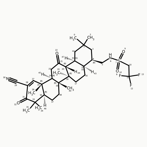 CC1(C)C[C@@H](CNS(=O)(=O)CC(F)(F)F)[C@H]2CC[C@]3(C)[C@H](C(=O)C[C@@H]4[C@@]5(C)C=C(C#N)C(=O)C(C)(C)[C@@H]5CC[C@]43C)[C@H]2C1